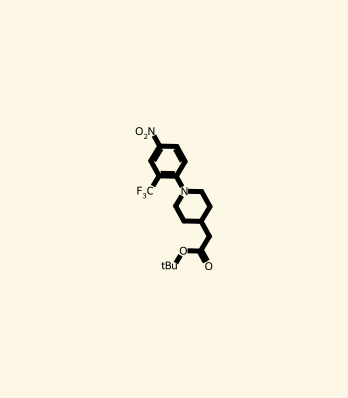 CC(C)(C)OC(=O)CC1CCN(c2ccc([N+](=O)[O-])cc2C(F)(F)F)CC1